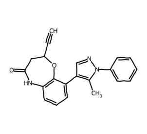 C#CC1CC(=O)Nc2cccc(-c3cnn(-c4ccccc4)c3C)c2O1